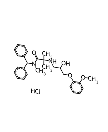 COc1ccccc1OCC(O)CNC(C)(C)C(=O)N(C)C(c1ccccc1)c1ccccc1.Cl